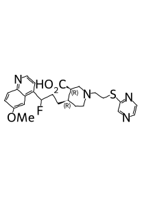 COc1ccc2nccc(C(F)CC[C@@H]3CCN(CCSc4cnccn4)C[C@@H]3C(=O)O)c2c1